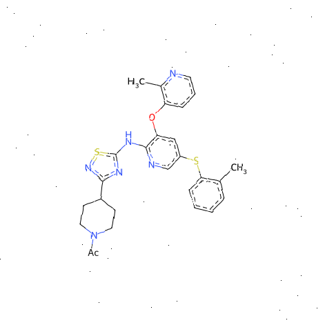 CC(=O)N1CCC(c2nsc(Nc3ncc(Sc4ccccc4C)cc3Oc3cccnc3C)n2)CC1